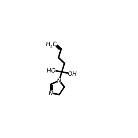 C=CCCC(O)(O)N1C=NCC1